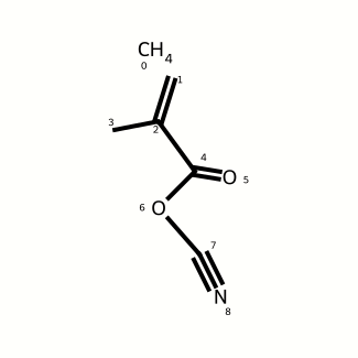 C.C=C(C)C(=O)OC#N